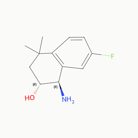 CC1(C)C[C@@H](O)[C@H](N)c2cc(F)ccc21